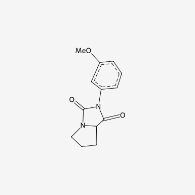 COc1cccc(N2C(=O)C3CCCN3C2=O)c1